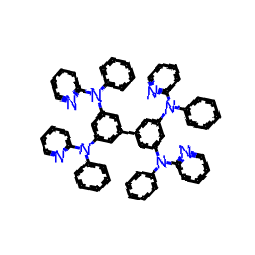 c1ccc(N(c2cc(-c3cc(N(c4ccccc4)c4ccccn4)cc(N(c4ccccc4)c4ccccn4)c3)cc(N(c3ccccc3)c3ccccn3)c2)c2ccccn2)cc1